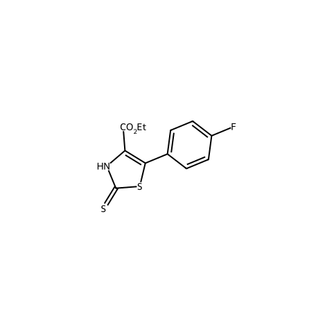 CCOC(=O)c1[nH]c(=S)sc1-c1ccc(F)cc1